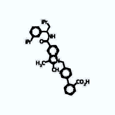 Cc1c(C)n(Cc2ccc(-c3ccccc3C(=O)O)cc2)c2ccc(C(=O)N[C@H](CC(C)C)c3cccc(C(C)C)c3)cc12